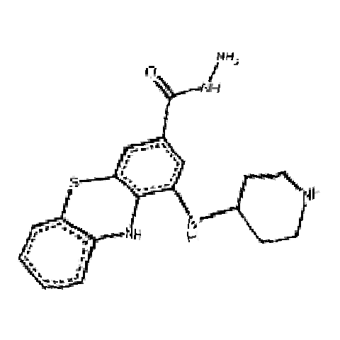 NNC(=O)c1cc(NC2CCNCC2)c2c(c1)Sc1ccccc1N2